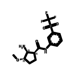 CO[C@H]1CC[C@H](C(=O)Nc2cccc(S(=O)(=O)C(F)(F)F)c2)[C@@H]1N